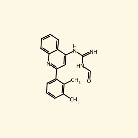 Cc1cccc(-c2cc(NC(=N)NC=O)c3ccccc3n2)c1C